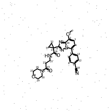 COc1ccc(-c2ccc(C#N)cc2)n2nc(C3(C(=O)NCCC(=O)N4CCOCC4)CC3)nc12